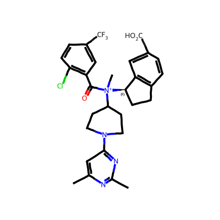 Cc1cc(N2CCC([N+](C)(C(=O)c3cc(C(F)(F)F)ccc3Cl)[C@@H]3CCc4ccc(C(=O)O)cc43)CC2)nc(C)n1